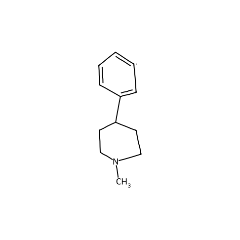 CN1CCC(c2c[c]ccc2)CC1